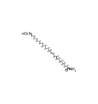 CCCCCCCCC=CCCCCCCCCCCCCCCCCC=CCCCCCCCC(N)=O